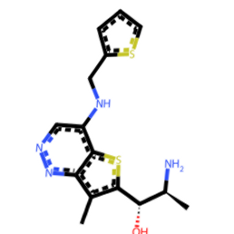 Cc1c([C@@H](O)[C@H](C)N)sc2c(NCc3cccs3)cnnc12